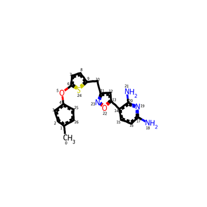 Cc1ccc(Oc2ccc(Cc3cc(-c4ccc(N)nc4N)on3)s2)cc1